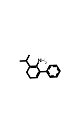 CC(C)C1=C(N)C(c2ccccc2)=CCC1